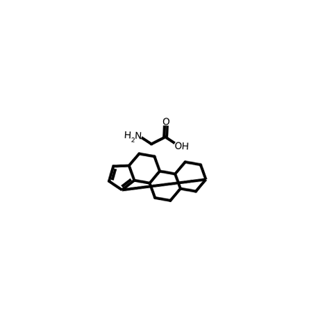 C1=CC2CCC3C4CCC5CC(CCC53)C1=C24.NCC(=O)O